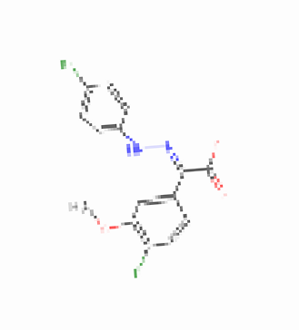 COc1cc(/C(=N\Nc2ccc(Br)cc2)C(=O)O)ccc1F